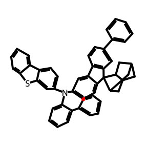 c1ccc(-c2ccc3c(c2)C2(c4ccc(N(c5ccc6c(c5)sc5ccccc56)c5ccccc5-c5ccccc5)cc4-3)C3CC4CC(C3)C2C4)cc1